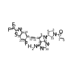 C=CC(=O)N1CC[C@H](n2cc(C#Cc3cc4nc(C(F)F)sc4cc3F)c3c(N)ncnc32)C1